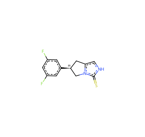 Fc1cc(F)cc([C@H]2Cc3c[nH]c(=S)n3C2)c1